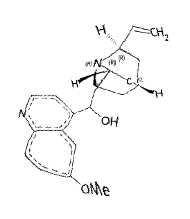 C=C[C@H]1C[C@@H]2CC[N@]1[C@@H](C(O)c1ccnc3ccc(OC)cc13)C2